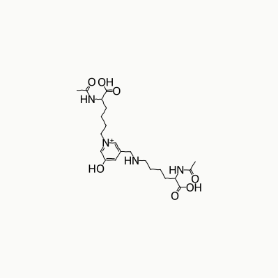 CC(=O)NC(CCCCNCc1cc(O)c[n+](CCCCC(NC(C)=O)C(=O)O)c1)C(=O)O